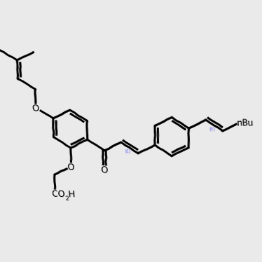 CCCC/C=C/c1ccc(/C=C/C(=O)c2ccc(OCC=C(C)C)cc2OCC(=O)O)cc1